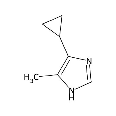 Cc1[nH]cnc1C1CC1